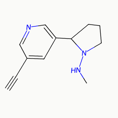 C#Cc1cncc(C2CCCN2NC)c1